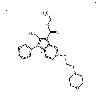 CCOC(=O)c1c(C)n(-c2ccccc2)c2ccc(OCCN3CCOCC3)cc12